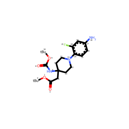 CC(C)(C)OC(=O)CC1(NC(=O)OC(C)(C)C)CCN(c2ccc(N)cc2F)CC1